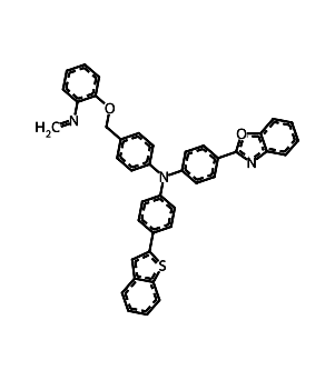 C=Nc1ccccc1OCc1ccc(N(c2ccc(-c3nc4ccccc4o3)cc2)c2ccc(-c3cc4ccccc4s3)cc2)cc1